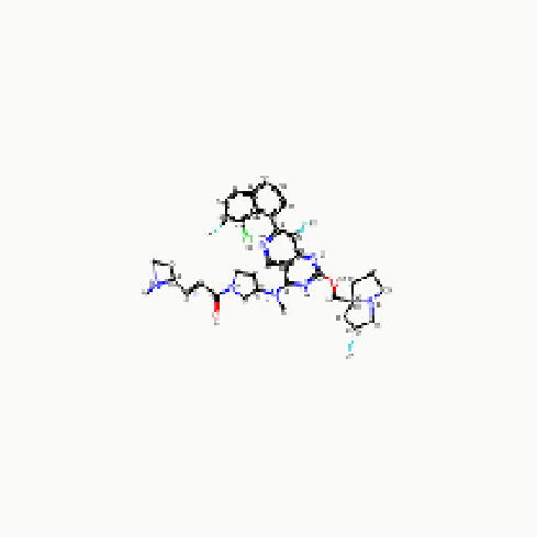 CN1CC[C@H]1/C=C/C(=O)N1CC[C@@H](N(C)c2nc(OC[C@@]34CCCN3C[C@H](F)C4)nc3c(F)c(-c4cccc5ccc(F)c(Cl)c45)ncc23)C1